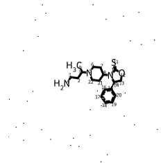 CC(CCN)N1CCC(N2C(=S)OC[C@H]2c2ccccc2)CC1